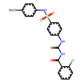 COc1ccc(NS(=O)(=O)c2ccc(NC(=S)NC(=O)c3ccccc3Cl)cc2)cc1